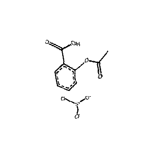 CC(=O)Oc1ccccc1C(=O)O.[O-][S+](Cl)Cl